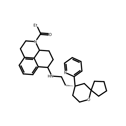 CCC(=O)N1CCc2cccc3c2C1CCC3NCC[C@@]1(c2ccccn2)CCOC2(CCCC2)C1